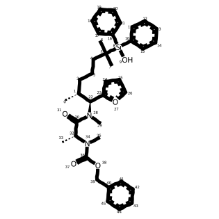 C[C@H](CCCC(C)(C)[Si](O)(c1ccccc1)c1ccccc1)[C@@H](c1ccco1)N(C)C(=O)[C@@H](C)N(C)C(=O)OCc1ccccc1